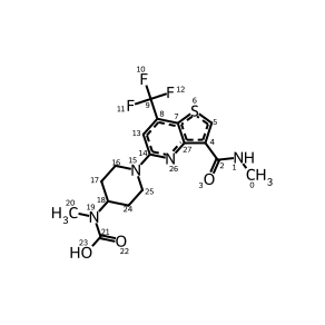 CNC(=O)c1csc2c(C(F)(F)F)cc(N3CCC(N(C)C(=O)O)CC3)nc12